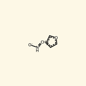 C=[NH+][O-].c1ccoc1